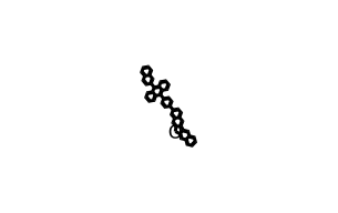 c1ccc2cc(-c3c4ccccc4c(-c4ccc(-c5ccc6cc7c(cc6c5)oc5cc6ccccc6cc57)cc4)c4ccccc34)ccc2c1